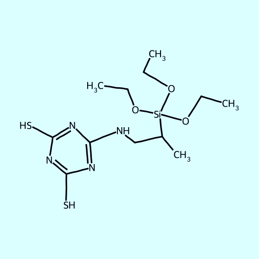 CCO[Si](OCC)(OCC)C(C)CNc1nc(S)nc(S)n1